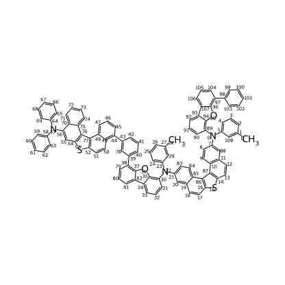 Cc1cccc(N(c2ccc3c(ccc4sc5ccc6cc(N(c7cccc(C)c7)c7cccc8c7oc7c(-c9cccc(-c%10cccc%11c%10ccc%10sc%12cc(N(c%13ccccc%13)c%13ccccc%13)c%13ccccc%13c%12c%10%11)c9)cccc78)ccc6c5c43)c2)c2cccc3c2oc2c(-c4ccccc4)cccc23)c1